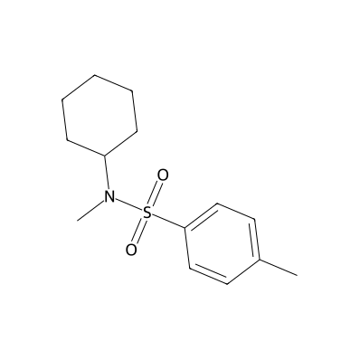 Cc1ccc(S(=O)(=O)N(C)C2CCCCC2)cc1